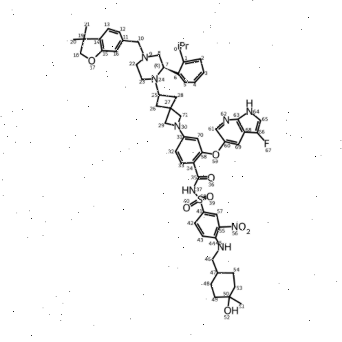 CC(C)c1ccccc1[C@@H]1CN(Cc2ccc3c(c2)OCC3(C)C)CCN1C1CC2(C1)CN(c1ccc(C(=O)NS(=O)(=O)c3ccc(NCC4CCC(C)(O)CC4)c([N+](=O)[O-])c3)c(Oc3cnc4[nH]cc(F)c4c3)c1)C2